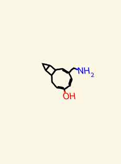 NCC1=C/C2C(C\C=C(O)/C=C\1)C1CC21